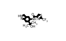 CC(C)(O)c1cc2n[nH]cc2cc1NC(=O)c1csc(C(F)(F)F)n1